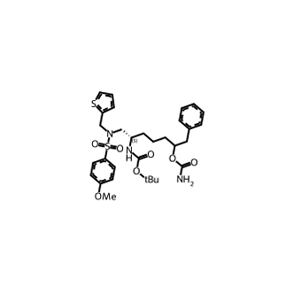 COc1ccc(S(=O)(=O)N(Cc2cccs2)C[C@H](CCCC(Cc2ccccc2)OC(N)=O)NC(=O)OC(C)(C)C)cc1